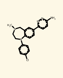 CN1CCN(c2ccc(Cl)cc2)c2ccc(-c3ccc(N)nn3)cc2C1